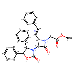 CC(C)(C)OC(=O)CN1C(=O)[C@@H](N2C(=O)OC(c3ccccc3)C2c2ccccc2)C1/C=C/c1ccccc1